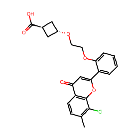 Cc1ccc2c(=O)cc(-c3ccccc3OCCO[C@H]3C[C@H](C(=O)O)C3)oc2c1Cl